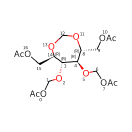 CC(=O)OCO[C@H]1[C@H](OCOC(C)=O)[C@@H](COC(C)=O)OCO[C@@H]1COC(C)=O